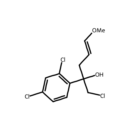 COC=CCC(O)(CCl)c1ccc(Cl)cc1Cl